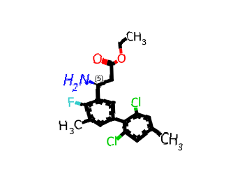 CCOC(=O)C[C@H](N)c1cc(-c2c(Cl)cc(C)cc2Cl)cc(C)c1F